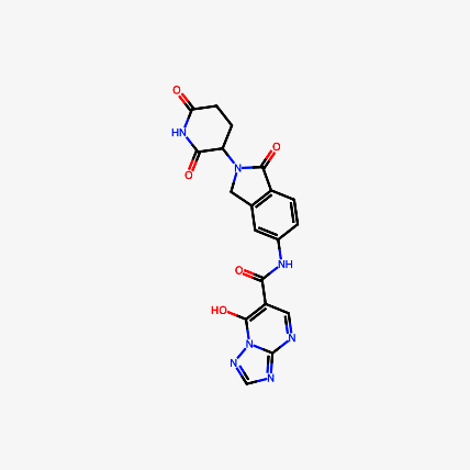 O=C1CCC(N2Cc3cc(NC(=O)c4cnc5ncnn5c4O)ccc3C2=O)C(=O)N1